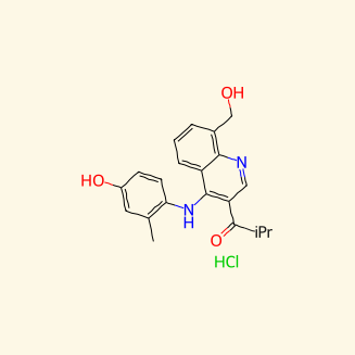 Cc1cc(O)ccc1Nc1c(C(=O)C(C)C)cnc2c(CO)cccc12.Cl